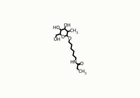 CCC(=O)NCCCCCCOC1OC(CO)C(O)C(O)C1C